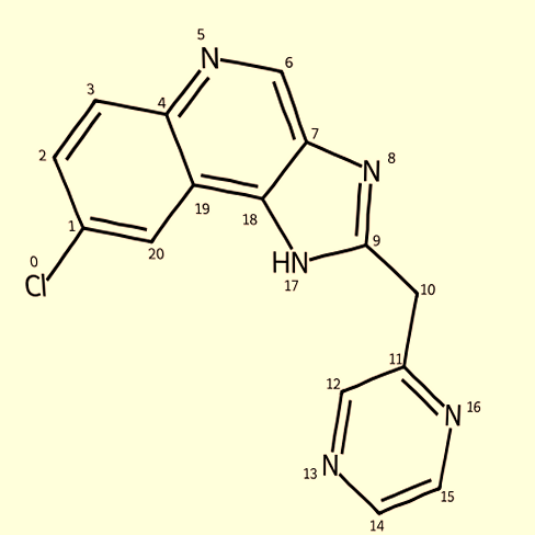 Clc1ccc2ncc3nc(Cc4cnccn4)[nH]c3c2c1